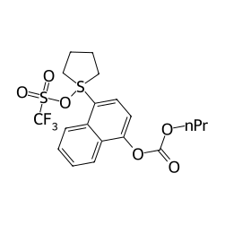 CCCOC(=O)Oc1ccc(S2(OS(=O)(=O)C(F)(F)F)CCCC2)c2ccccc12